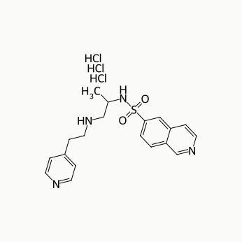 CC(CNCCc1ccncc1)NS(=O)(=O)c1ccc2cnccc2c1.Cl.Cl.Cl